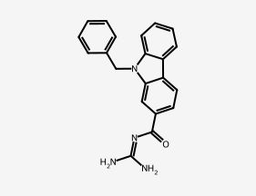 NC(N)=NC(=O)c1ccc2c3ccccc3n(Cc3ccccc3)c2c1